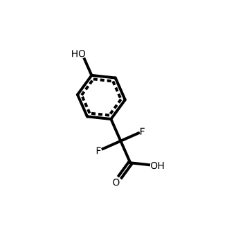 O=C(O)C(F)(F)c1ccc(O)cc1